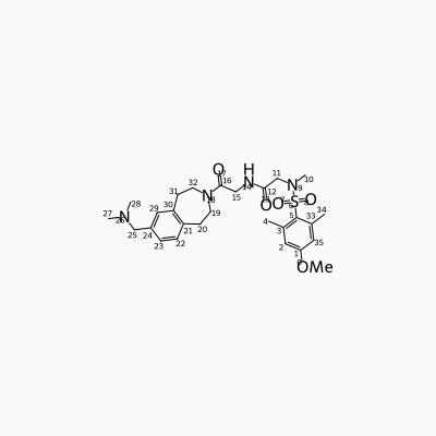 COc1cc(C)c(S(=O)(=O)N(C)CC(=O)NCC(=O)N2CCc3ccc(CN(C)C)cc3CC2)c(C)c1